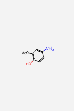 CC(=O)Oc1cc(N)ccc1O